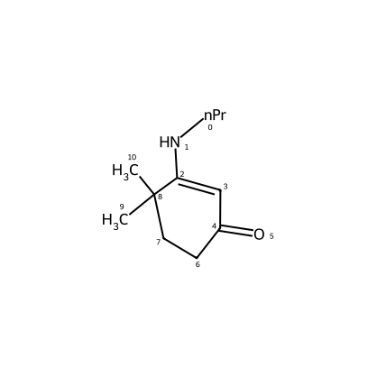 CCCNC1=CC(=O)CCC1(C)C